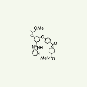 CNC(=O)C1CCN(C(=O)c2ccc(Oc3cc(OC(C)COC)cc(-c4nc5cccnc5[nH]4)c3)cc2)CC1